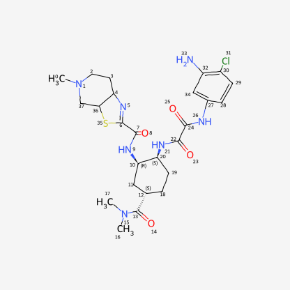 CN1CCC2N=C(C(=O)N[C@@H]3C[C@@H](C(=O)N(C)C)CC[C@@H]3NC(=O)C(=O)Nc3ccc(Cl)c(N)c3)SC2C1